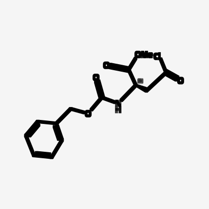 COC(=O)[C@@H](CC(=O)Cl)NC(=O)OCc1ccccc1